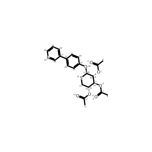 CC(=O)O[C@@H]1[C@@H](OC(C)=O)[C@H](OC(C)=O)CS[C@H]1Oc1ccc(-c2cccnc2)cc1